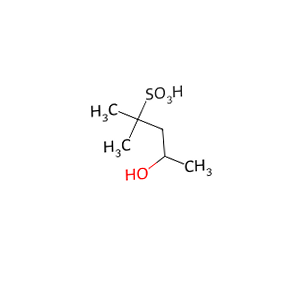 CC(O)CC(C)(C)S(=O)(=O)O